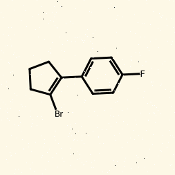 Fc1ccc(C2=C(Br)CCC2)cc1